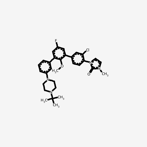 COc1c(-c2cccc(N3CCN(C(C)(C)C)CC3)c2)cc(F)cc1-c1ccc(-n2ccn(C)c2=O)c(Cl)c1